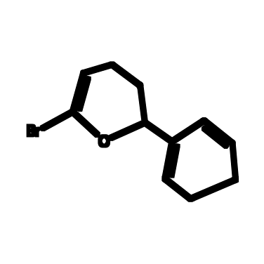 BrC1=CCCC(C2=CCCC=C2)O1